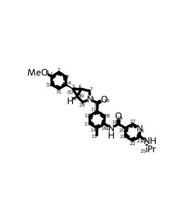 COc1ccc([C@H]2C3CN(C(=O)c4ccc(C)c(NC(=O)c5ccc(NC(C)C)nc5)c4)C[C@@H]32)cc1